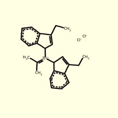 CCC1=C[CH]([Zr+2](=[C](C)C)[CH]2C=C(CC)c3ccccc32)c2ccccc21.[Cl-].[Cl-]